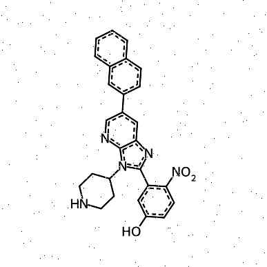 O=[N+]([O-])c1ccc(O)cc1-c1nc2cc(-c3ccc4ccccc4c3)cnc2n1C1CCNCC1